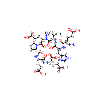 CC(C)[C@H](NC(=O)[C@H](Cc1c[nH]cn1)NC(=O)[C@@H](N)CCC(=O)O)C(=O)N[C@@H](CCC(=O)O)C(=O)N1CCC[C@H]1C(=O)N[C@@H](CCC(=O)O)C(=O)N[C@@H](CCC(=O)O)C(=O)O